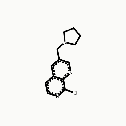 Clc1nccc2cc(CN3CCCC3)cnc12